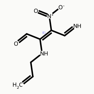 C=CCN/C(C=O)=C(\C=N)[N+](=O)[O-]